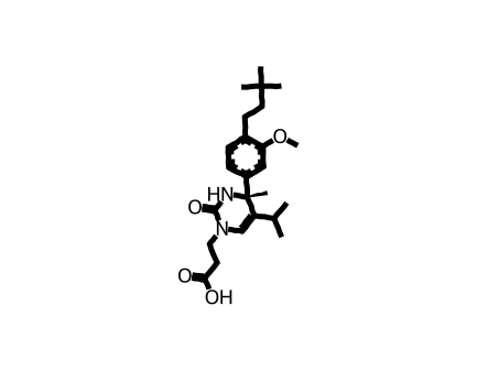 COc1cc([C@@]2(C)NC(=O)N(CCC(=O)O)C=C2C(C)C)ccc1CCC(C)(C)C